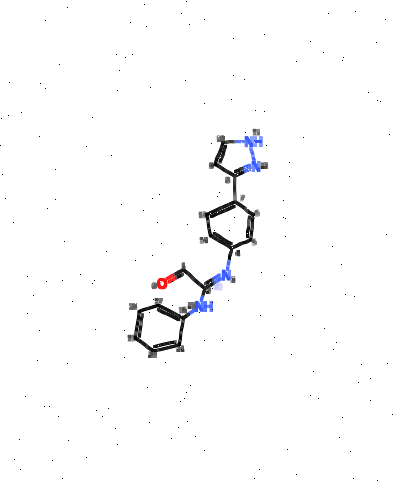 O=C/C(=N\c1ccc(-c2cc[nH]n2)cc1)Nc1ccccc1